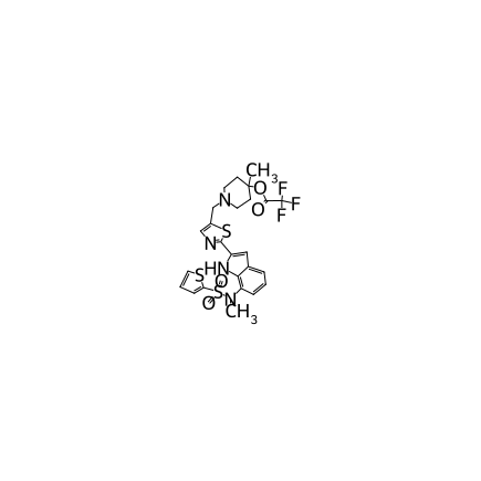 CN(c1cccc2cc(-c3ncc(CN4CCC(C)(OC(=O)C(F)(F)F)CC4)s3)[nH]c12)S(=O)(=O)c1cccs1